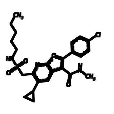 CCCCCNS(=O)(=O)Cc1nc2oc(-c3ccc(Cl)cc3)c(C(=O)NC)c2cc1C1CC1